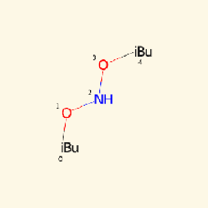 CCC(C)ONOC(C)CC